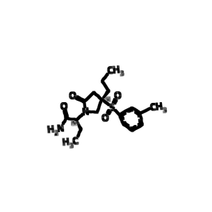 CCC[C@]1(S(=O)(=O)c2cccc(C)c2)CC(=O)N([C@@H](CC)C(N)=O)C1